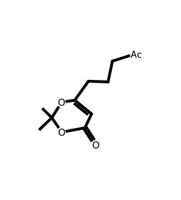 CC(=O)CCCC1=CC(=O)OC(C)(C)O1